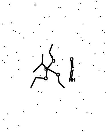 CCO[Si](OCC)(OCC)C(C)C.N=C=O